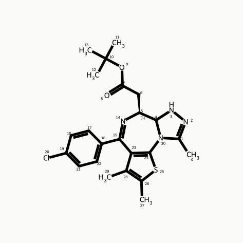 CC1=NNC2[C@H](CC(=O)OC(C)(C)C)N=C(c3ccc(Cl)cc3)c3c(sc(C)c3C)N12